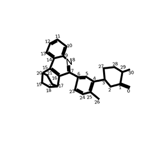 C=C1CC(c2cc(-c3nc4ccccc4c4c3C3CCC4CC3)ccc2C)CCC1C